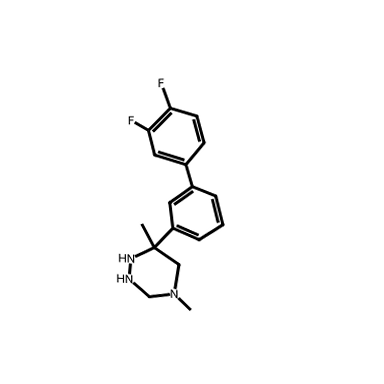 CN1CNNC(C)(c2cccc(-c3ccc(F)c(F)c3)c2)C1